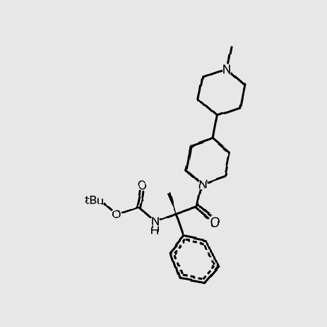 CN1CCC(C2CCN(C(=O)[C@@](C)(NC(=O)OC(C)(C)C)c3ccccc3)CC2)CC1